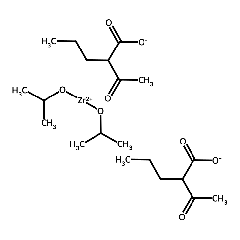 CC(C)[O][Zr+2][O]C(C)C.CCCC(C(C)=O)C(=O)[O-].CCCC(C(C)=O)C(=O)[O-]